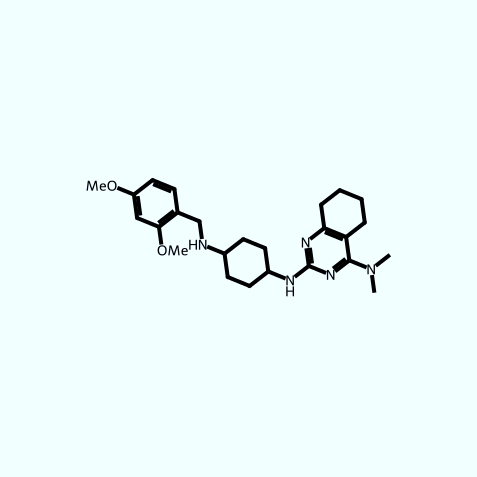 COc1ccc(CNC2CCC(Nc3nc4c(c(N(C)C)n3)CCCC4)CC2)c(OC)c1